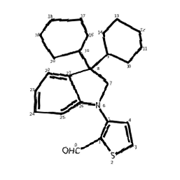 O=Cc1sccc1N1CC(C2CCCCC2)(C2CCCCC2)c2ccccc21